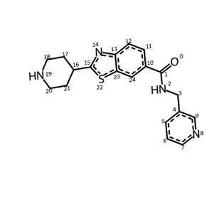 O=C(NCc1cccnc1)c1ccc2nc(C3CCNCC3)sc2c1